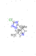 COc1nc(Cl)nn1CC1(C)CN2CCC1CC2